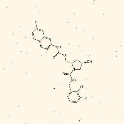 O=C(Nc1cc2cc(F)ccc2cn1)OC[C@@H]1C[C@@H](O)CN1C(=O)NCc1cccc(F)c1Cl